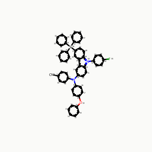 [C-]#[N+]c1ccc(N(c2ccc(Oc3ccccc3)cc2)c2ccc3c(c2)c2cc([Si](c4ccccc4)(c4ccccc4)c4ccccc4)ccc2n3-c2ccc(F)cc2)cc1